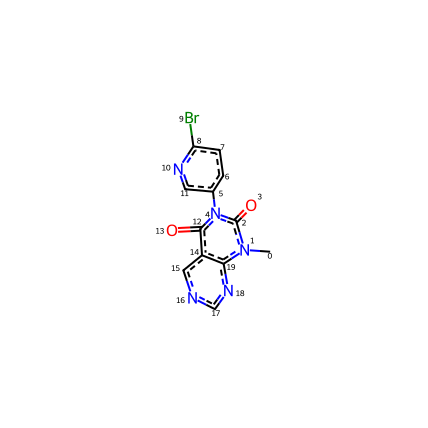 Cn1c(=O)n(-c2ccc(Br)nc2)c(=O)c2cncnc21